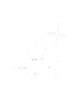 CC(C)(C)C1C(OS(C)(=O)=O)CCN1C(=O)O